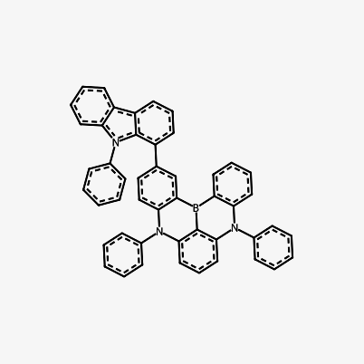 c1ccc(N2c3ccccc3B3c4cc(-c5cccc6c7ccccc7n(-c7ccccc7)c56)ccc4N(c4ccccc4)c4cccc2c43)cc1